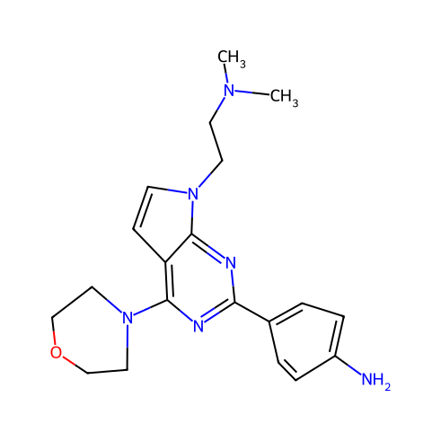 CN(C)CCn1ccc2c(N3CCOCC3)nc(-c3ccc(N)cc3)nc21